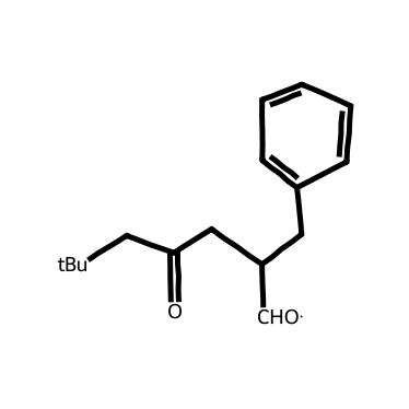 CC(C)(C)CC(=O)CC([C]=O)Cc1ccccc1